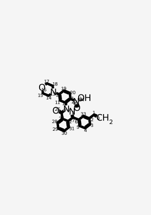 C=Cc1cccc(-c2nn(-c3cc(N4CCOCC4)ccc3[N+](=O)O)c(=O)c3ccccc23)c1